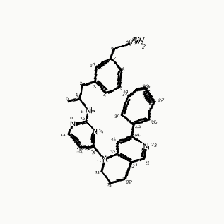 CC(Cc1cccc(CN)c1)Nc1nccc(N2CCCc3cnc(-c4ccccc4)cc32)n1